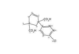 CC1(C(=O)O)CC=CC(C(=O)O)(c2ccc(Cl)nn2)C1